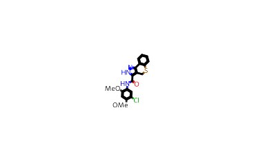 COc1cc(OC)c(NC(=O)c2[nH]nc3c2CSc2ccccc2-3)cc1Cl